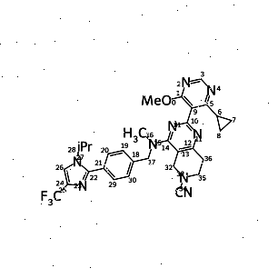 COc1ncnc(C2CC2)c1-c1nc2c(c(N(C)Cc3ccc(-c4nc(C(F)(F)F)cn4C(C)C)cc3)n1)CN(C#N)CC2